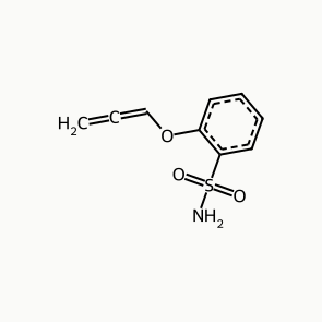 C=C=COc1ccccc1S(N)(=O)=O